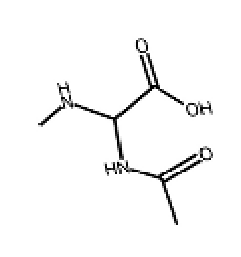 CNC(NC(C)=O)C(=O)O